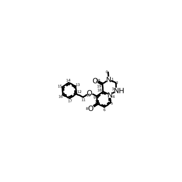 CN1CNn2ccc(=O)c(OCc3ccccc3)c2C1=O